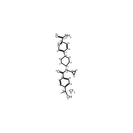 C[C@](O)(c1ccc(C(=O)N(C2CC2)[C@H]2CC[C@H](c3ccc(C(N)=O)nc3)CC2)cc1)C(F)(F)F